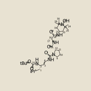 CC(C)C[C@@H](/C=C/NC(=O)N1CCC[C@H]1C(=O)N[C@H](C)C(=O)NC1CC(C)(C)N(O)C(C)(C)C1)NC(=O)OC(C)(C)C